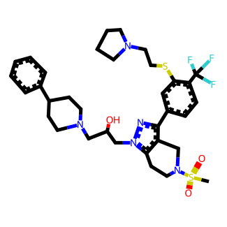 CS(=O)(=O)N1CCc2c(c(-c3ccc(C(F)(F)F)c(SCCN4CCCC4)c3)nn2CC(O)CN2CCC(c3ccccc3)CC2)C1